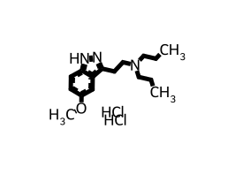 CCCN(CCC)CCc1n[nH]c2ccc(OC)cc12.Cl.Cl